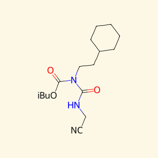 CC(C)COC(=O)N(CCC1CCCCC1)C(=O)NCC#N